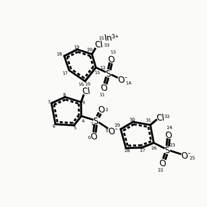 O=S(=O)([O-])c1ccccc1Cl.O=S(=O)([O-])c1ccccc1Cl.O=S(=O)([O-])c1ccccc1Cl.[In+3]